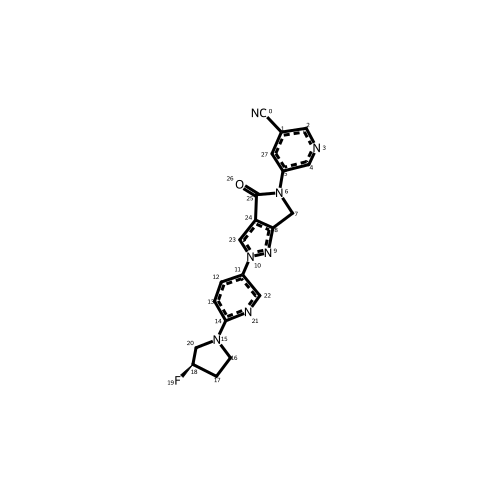 N#Cc1cncc(N2Cc3nn(-c4ccc(N5CC[C@@H](F)C5)nc4)cc3C2=O)c1